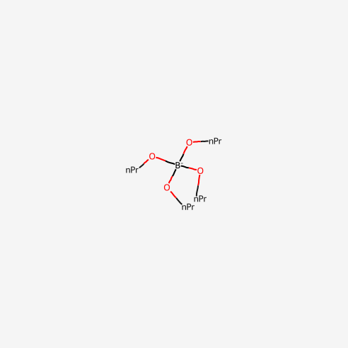 CCCO[B-](OCCC)(OCCC)OCCC